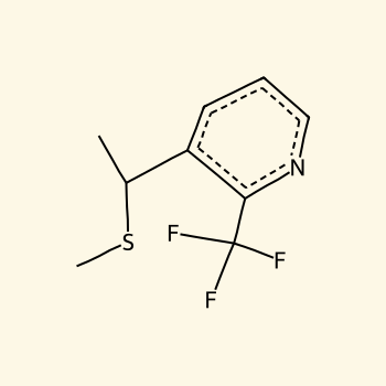 CSC(C)c1cccnc1C(F)(F)F